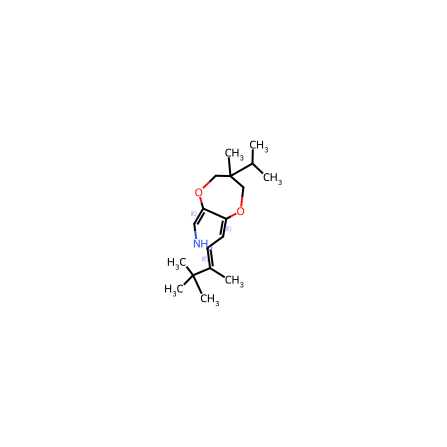 C\C(=C/C=C1/OCC(C)(C(C)C)CO/C1=C/N)C(C)(C)C